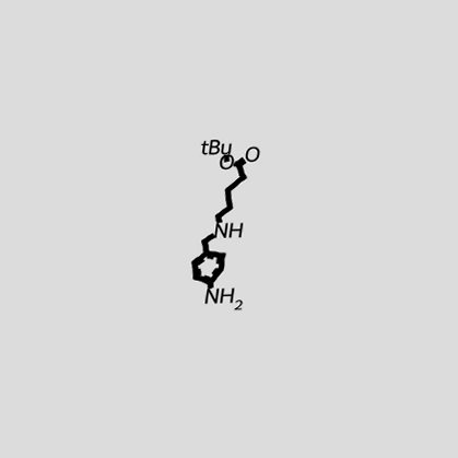 CC(C)(C)OC(=O)CCCCNCc1ccc(N)cc1